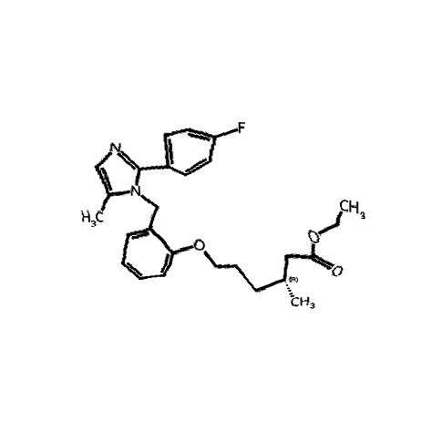 CCOC(=O)C[C@H](C)CCCOc1ccccc1Cn1c(C)cnc1-c1ccc(F)cc1